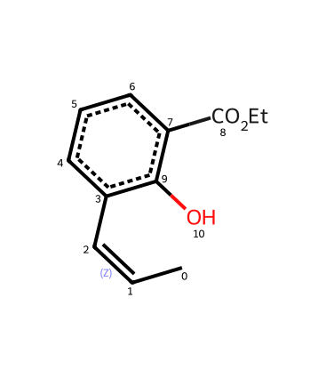 C/C=C\c1cccc(C(=O)OCC)c1O